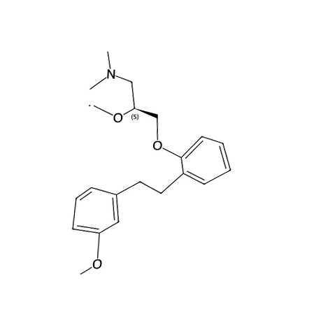 [CH2]O[C@H](COc1ccccc1CCc1cccc(OC)c1)CN(C)C